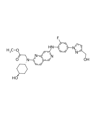 COC(=O)CN(c1ccc2cnc(Nc3ccc(-n4ccc(CO)n4)cc3F)cc2n1)[C@H]1CC[C@H](O)CC1